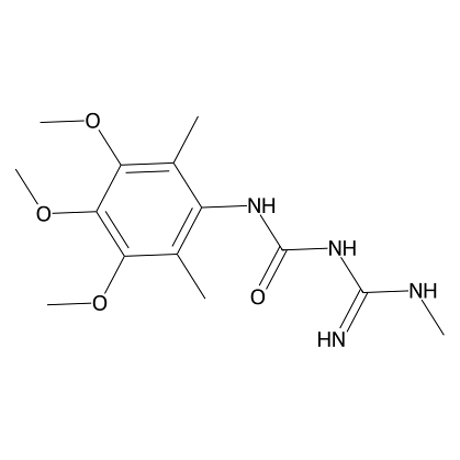 CNC(=N)NC(=O)Nc1c(C)c(OC)c(OC)c(OC)c1C